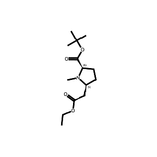 CCOC(=O)C[C@@H]1CC[C@H](C(=O)OC(C)(C)C)N1C